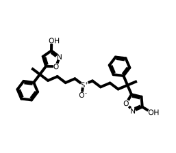 CC(CCCC[S+]([O-])CCCCC(C)(c1ccccc1)c1cc(O)no1)(c1ccccc1)c1cc(O)no1